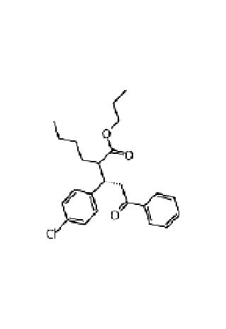 CCCCC(C(=O)OCCC)[C@H](CC(=O)c1ccccc1)c1ccc(Cl)cc1